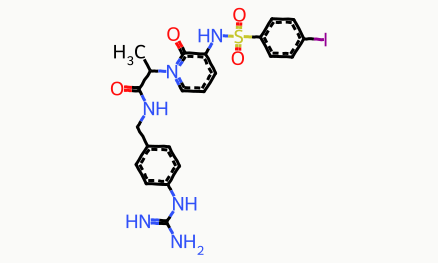 CC(C(=O)NCc1ccc(NC(=N)N)cc1)n1cccc(NS(=O)(=O)c2ccc(I)cc2)c1=O